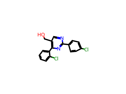 OCc1cnc(-c2ccc(Cl)cc2)nc1-c1ccccc1Cl